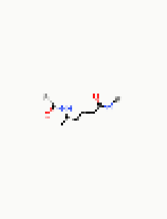 CC(C)NC(=O)CCCC(C)NC(=O)C(C)C